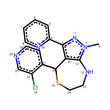 Cn1nc(-c2ccccn2)c2c1NCCSC2c1ccncc1Cl